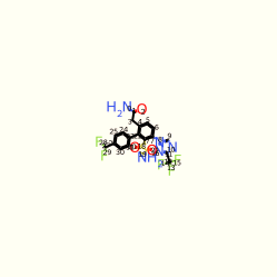 NC(=O)Cc1ccc(-n2cnc(C(F)(F)F)n2)c(S(N)(=O)=O)c1-c1ccc(C(F)F)cc1